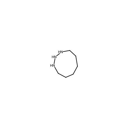 C1CCCNNNCC1